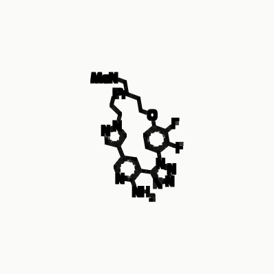 CNCCCCOc1ccc(-n2nnnc2-c2cc(-c3cnn(CCC(C)C)c3)cnc2N)c(F)c1F